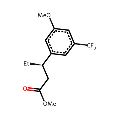 CC[C@H](CC(=O)OC)c1cc(OC)cc(C(F)(F)F)c1